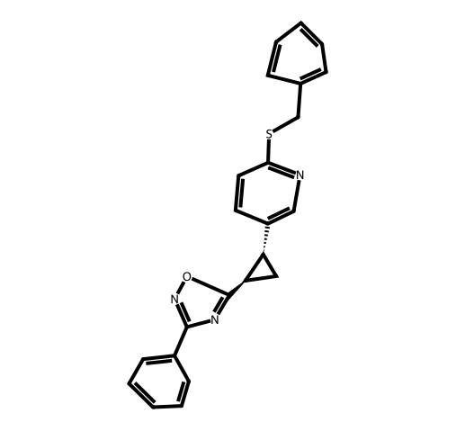 c1ccc(CSc2ccc([C@@H]3C[C@H]3c3nc(-c4ccccc4)no3)cn2)cc1